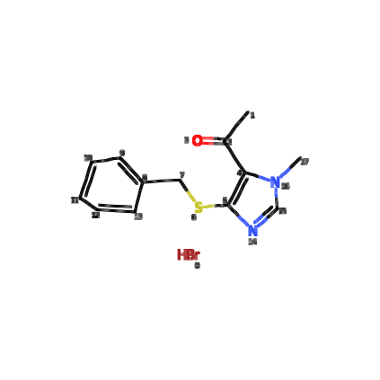 Br.CC(=O)c1c(SCc2ccccc2)ncn1C